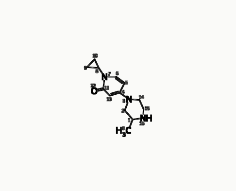 CC1CN(c2ccn(C3CC3)c(=O)c2)CCN1